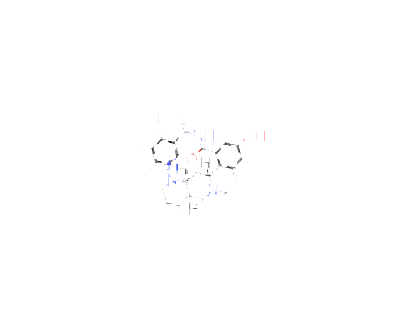 CC(NC(=O)c1cc(O)cc2c1[C@H]1C[C@@H]3NCCC[C@@H]3CN1CC2)c1ccccc1